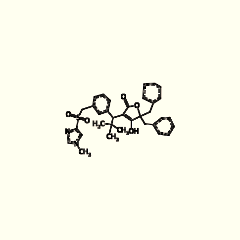 Cn1cnc(S(=O)(=O)Cc2cccc(C(C3=C(O)C(Cc4ccccc4)(Cc4ccccc4)OC3=O)C(C)(C)C)c2)c1